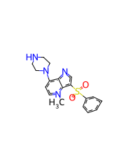 Cn1ccc(N2CCNCC2)c2ncc(S(=O)(=O)c3ccccc3)c1-2